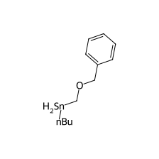 CCC[CH2][SnH2][CH2]OCc1ccccc1